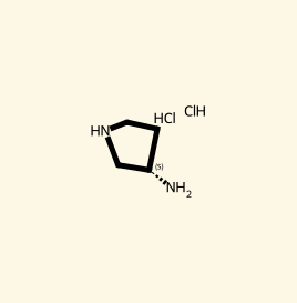 Cl.Cl.N[C@H]1CCNC1